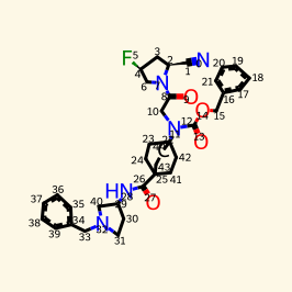 N#C[C@@H]1C[C@H](F)CN1C(=O)CN(C(=O)OCc1ccccc1)C12CCC(C(=O)NC3CCN(Cc4ccccc4)C3)(CC1)CC2